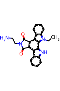 CCn1c2ccccc2c2c3c(c4c5ccccc5[nH]c4c21)C(=O)N(CCN)C3=O